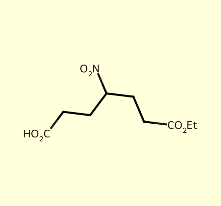 CCOC(=O)CCC(CCC(=O)O)[N+](=O)[O-]